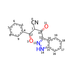 N#CC(C(=O)c1ccccc1)C(=O)c1n[nH]c2ccccc12